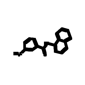 O=C(O)c1cccc(C(=O)Nc2cccc3ccccc23)c1